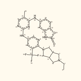 CCN1CC2CN(c3ncc(Nc4ncc(C)c(Nc5ccc6oc(=O)[nH]c6c5)n4)cc3C(F)(F)F)CC2C1